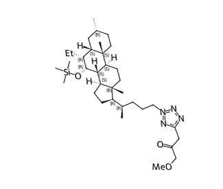 CC[C@H]1[C@@H](O[Si](C)(C)C)[C@@H]2[C@H](CC[C@]3(C)[C@@H]([C@H](C)CCCn4nnc(CC(=O)COC)n4)CC[C@@H]23)[C@@]2(C)CC[C@@H](C)C[C@@H]12